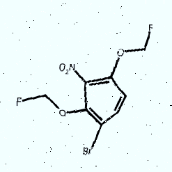 O=[N+]([O-])c1c(OCF)ccc(Br)c1OCF